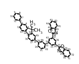 CC1(C)c2cc(-c3ccccc3)ccc2-c2ccc(-c3cccc(-c4cc(-c5nc6ccccc6o5)cc(-c5nc6ccccc6o5)c4)c3)cc21